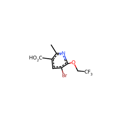 Cc1nc(OCC(F)(F)F)c(Br)cc1C(=O)O